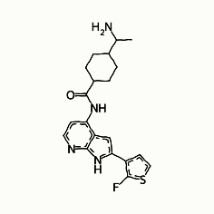 CC(N)C1CCC(C(=O)Nc2ccnc3[nH]c(-c4ccsc4F)cc23)CC1